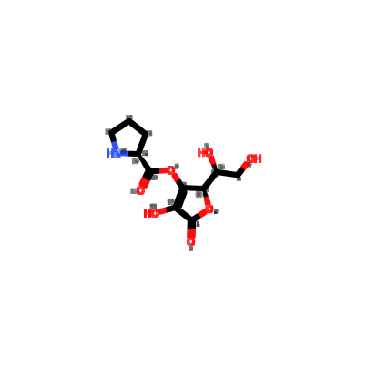 O=C1O[C@H]([C@@H](O)CO)C(OC(=O)[C@@H]2CCCN2)=C1O